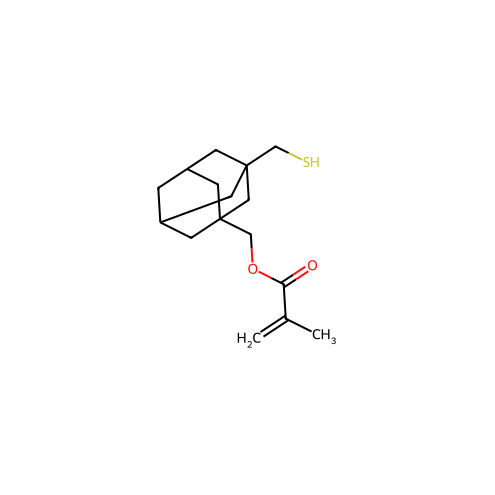 C=C(C)C(=O)OCC12CC3CC(CC(CS)(C3)C1)C2